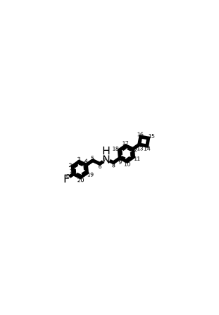 Fc1ccc(CCNCc2ccc(C3CCC3)cc2)cc1